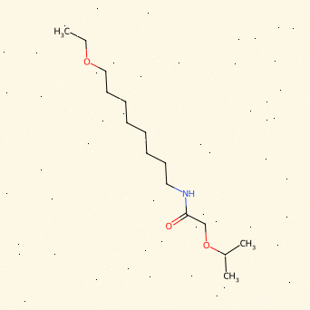 CCOCCCCCCCCNC(=O)COC(C)C